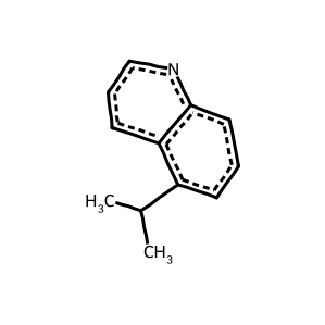 CC(C)c1cccc2ncccc12